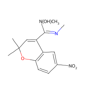 CN=C(C1=CC(C)(C)Oc2ccc([N+](=O)[O-])cc21)N(C)O